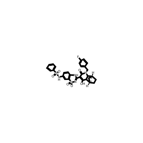 O=C1C(C2=NS(=O)(=O)c3cc(NS(=O)(=O)c4ccccc4)ccc3N2)=C(O)C2C([C@@H]3CC[C@H]2C3)N1Cc1ccc(F)cc1